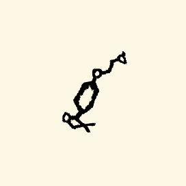 COCCOc1ccc(C2OCC2(C)C)cc1